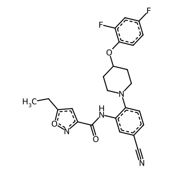 CCc1cc(C(=O)Nc2cc(C#N)ccc2N2CCC(Oc3ccc(F)cc3F)CC2)no1